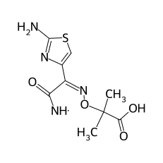 CC(C)(ON=C(C([NH])=O)c1csc(N)n1)C(=O)O